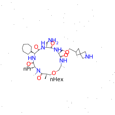 CCCCCC[C@H]1OC[C@@H](C)NC(=O)[C@H](COCC2CC3(CNC3)C2)NC(=O)[C@H](CN)NC(=O)[C@H](C2CCCCCC2)NC(=O)[C@H](CCC)N(C)C(=O)[C@@H]1C